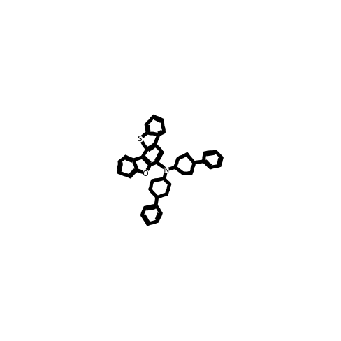 c1ccc(C2CCC(N(c3cc4c5ccccc5sc4c4c3oc3ccccc34)C3CCC(c4ccccc4)CC3)CC2)cc1